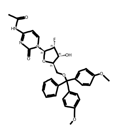 COc1ccc(C(OC[C@H]2O[C@@H](n3ccc(NC(C)=O)nc3=O)[C@H](F)[C@@H]2O)(c2ccccc2)c2ccc(OC)cc2)cc1